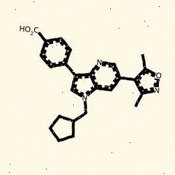 Cc1noc(C)c1-c1cnc2c(-c3ccc(C(=O)O)cc3)cn(CC3CCCC3)c2c1